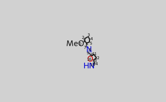 COc1ccccc1C/N=C/c1ccc(C=N)o1